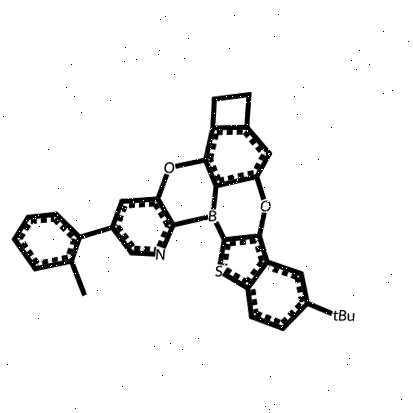 Cc1ccccc1-c1cnc2c(c1)Oc1c3c(cc4c1B2c1sc2ccc(C(C)(C)C)cc2c1O4)CC3